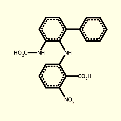 O=C(O)Nc1cccc(-c2ccccc2)c1Nc1cccc([N+](=O)[O-])c1C(=O)O